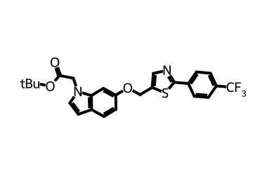 CC(C)(C)OC(=O)Cn1ccc2ccc(OCc3cnc(-c4ccc(C(F)(F)F)cc4)s3)cc21